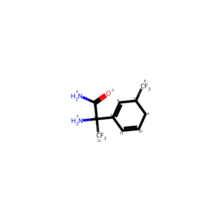 NC(=O)C(N)(C1=CC(C(F)(F)F)CC=C1)C(F)(F)F